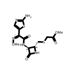 CO/N=C(\C(=O)N[C@@H]1C(=O)N[C@H]1CSCC(=O)OC)c1cnc(N)s1